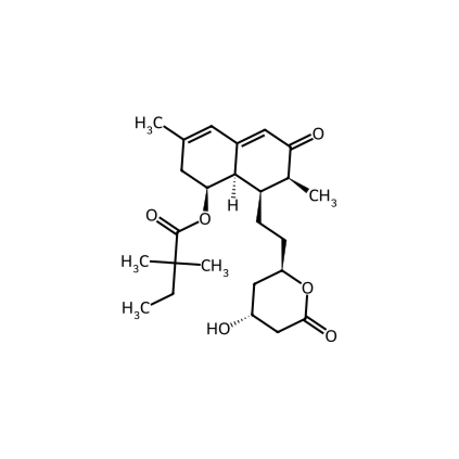 CCC(C)(C)C(=O)O[C@H]1CC(C)=CC2=CC(=O)[C@@H](C)[C@@H](CC[C@@H]3C[C@@H](O)CC(=O)O3)[C@H]21